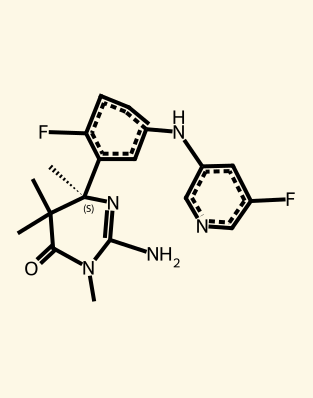 CN1C(=O)C(C)(C)[C@@](C)(c2cc(Nc3cncc(F)c3)ccc2F)N=C1N